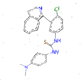 CN(C)c1ccc(NC(=S)Nc2ccc(Cl)c(-c3nccc4ccccc34)c2)cc1